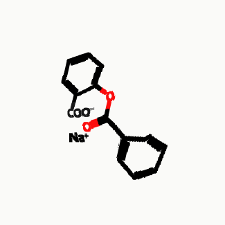 O=C(Oc1ccccc1C(=O)[O-])c1ccccc1.[Na+]